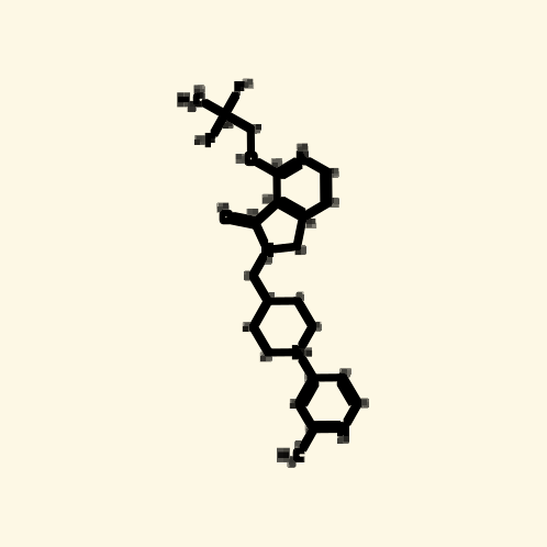 Cc1cc(N2CCC(CN3Cc4ccnc(OCC(C)(F)F)c4C3=O)CC2)ccn1